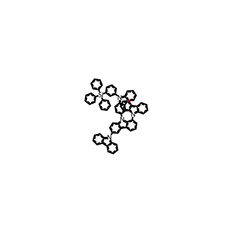 c1ccc([Si](c2ccccc2)(c2ccccc2)c2cccc(-n3c4ccccc4c4cc(-n5c6ccc(-n7c8ccccc8c8ccccc87)cc6c6cccc(-n7c8ccccc8c8ccccc87)c65)ccc43)c2)cc1